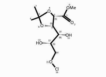 COC(=O)[C@H]1OC(C)(C)O[C@H]1[C@H](O)[C@@H](O)COCl